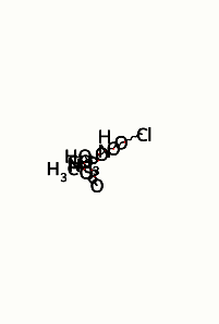 CN(C)c1ccc2c(-c3ccc(CONCCOCCOCCCCCCCl)cc3C(=O)O)c3ccc4cc(=O)ccc4c3oc2c1